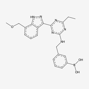 CCc1nc(NCc2cccc(B(O)O)c2)nc(-c2n[nH]c3c(COC)cccc23)n1